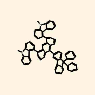 Cn1c2ccccc2c2c(-c3cccc4c(-c5ccc6c(c5)-c5ccccc5C6(c5ccccc5)c5ccccc5)c5cccc(-c6cccc7c6c6ccccc6n7C)c5cc34)cccc21